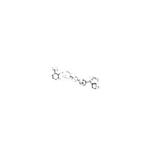 Fc1cccc(C(F)(F)F)c1CN1CCC(N2C[C](n3cc(-c4ncnc5[nH]ccc45)cn3)C2)CC1